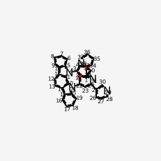 c1ccc(-n2c3ccccc3c3ccc4c5ccccc5n(-c5cc(-c6cccnc6)nc(-c6ccccn6)c5)c4c32)cc1